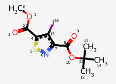 COC(=O)c1snc(C(=O)OC(C)(C)C)c1I